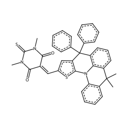 CN1C(=O)C(=Cc2cc3c(s2)N2c4ccccc4C(C)(C)c4cccc(c42)C3(c2ccccc2)c2ccccc2)C(=O)N(C)C1=S